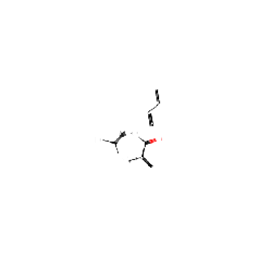 C=C(C)C(=O)OC.C=C(CC)C(=O)O.C=CC=C